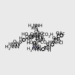 CC(=O)Oc1cc2c(c3ccccc13)C(CCl)CN2C(=O)c1cc2cc(NC(=O)c3cc4cc(NC(=O)N/N=C(\C)CN5C(=O)CC(SC[C@H](NC(=O)[C@H](CC(=O)O)NC(=O)[C@H](CCCNC(=N)N)NC(=O)[C@H](CC(=O)O)NC(=O)CC[C@H](NC(=O)c6ccc(NCc7cnc8nc(N)[nH]c(=O)c8n7)cc6)C(=O)O)C(=O)O)C5=O)ccc4[nH]3)ccc2[nH]1